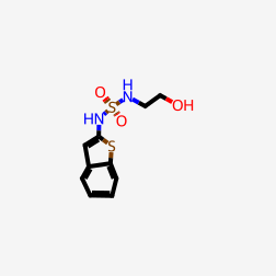 O=S(=O)(NCCO)Nc1cc2ccccc2s1